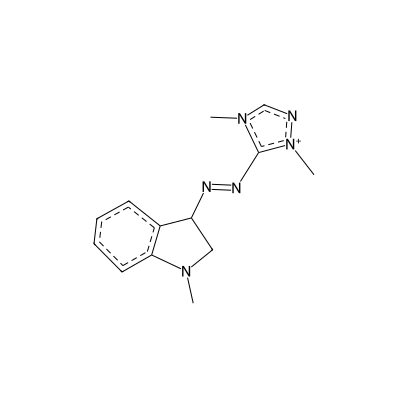 CN1CC(N=Nc2n(C)cn[n+]2C)c2ccccc21